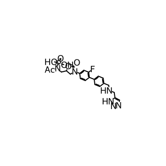 CC(=O)N(CC1CN(c2ccc(-c3ccc(CNCc4cnn[nH]4)cc3)c(F)c2)C(=O)O1)P(=O)(O)O